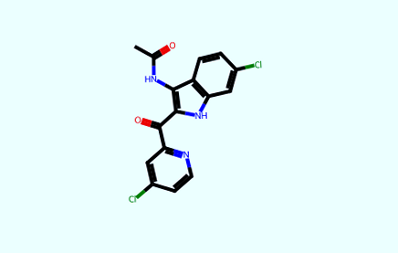 CC(=O)Nc1c(C(=O)c2cc(Cl)ccn2)[nH]c2cc(Cl)ccc12